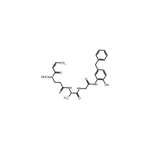 C/C=C\C(=O)N(C=O)CCC(=O)NC(C)C(=O)NCC(=O)Nc1cc(Cc2ccccc2)ccc1O